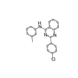 Cc1cccc(Nc2nc(-c3ccc(Cl)cc3)nc3ccccc23)c1